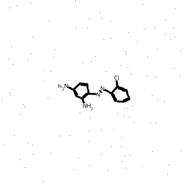 Nc1ccc(N=Nc2ccccc2Cl)c(N)c1